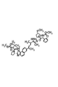 COC(=O)N[C@H](C(=O)N1CCC[C@H]1c1nc2ccc3cc(/C(C)=C/C=C(\C)c4[nH]c([C@@H]5C[C@H](SC)CN5C(=O)[C@H](NC(=O)OC)c5ccccc5)nc4C)ccc3c2[nH]1)C(C)C